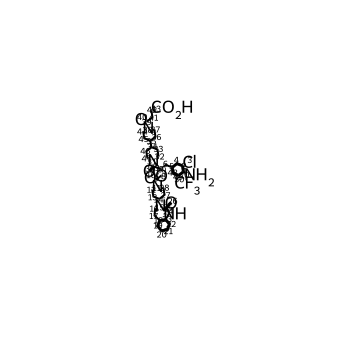 Nc1c(Cl)cc(C[C@@H](OC(=O)N2CCC(N3CCc4ccccc4NC3=O)CC2)C(=O)N2CCC(C3CCN(C(=O)CCC(=O)O)CC3)CC2)cc1C(F)(F)F